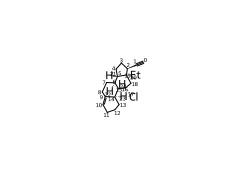 C#C[C@@H]1CC[C@H]2[C@@H]3CCC4=CCCC[C@@H]4[C@H]3[C@@H](Cl)C[C@]12CC